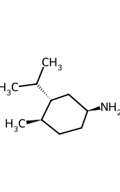 CC(C)[C@@H]1C[C@@H](N)CC[C@H]1C